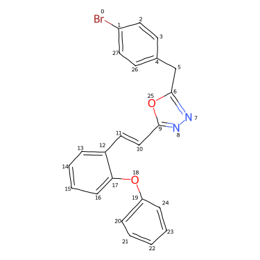 Brc1ccc(Cc2nnc(C=Cc3ccccc3Oc3ccccc3)o2)cc1